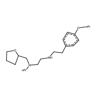 CCCOc1ccc(CCNCCN(CCC)CC2CCCO2)cc1